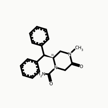 CN1C[C@H](C(c2ccccc2)c2ccccc2)N(C(N)=O)CC1=O